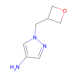 Nc1cnn(CC2COC2)c1